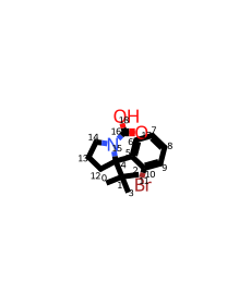 CC(C)(C)C1(c2ccccc2Br)CCCN1C(=O)O